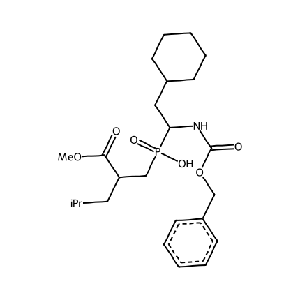 COC(=O)C(CC(C)C)CP(=O)(O)C(CC1CCCCC1)NC(=O)OCc1ccccc1